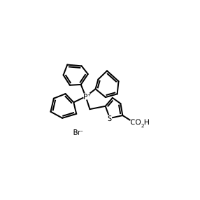 O=C(O)c1ccc(C[P+](c2ccccc2)(c2ccccc2)c2ccccc2)s1.[Br-]